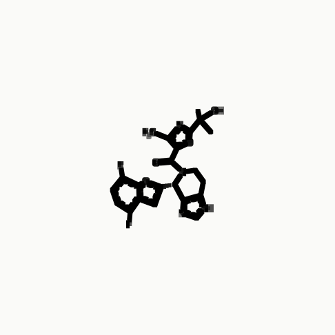 CC(C)(O)c1nc(C(F)(F)F)c(C(=O)N2CCc3[nH]cnc3[C@@H]2c2cc3c(F)ccc(F)c3o2)o1